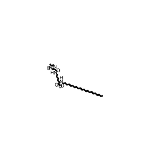 CCC=CCC=CCC=CCC=CCC=CCC=CCCC(=O)NC(CCCCNC(=O)c1c[n+]([O-])c(C)cn1)C(=O)OC